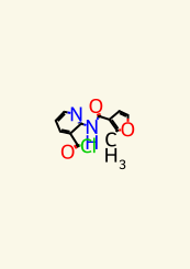 Cc1occc1C(=O)Nc1ncccc1C(=O)Cl